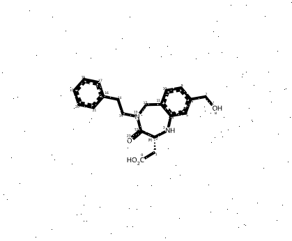 O=C(O)C[C@H]1Nc2cc(CO)ccc2CN(CCc2ccccc2)C1=O